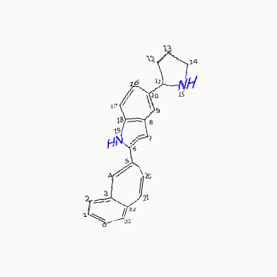 c1ccc2cc(-c3cc4cc(C5CCCN5)ccc4[nH]3)ccc2c1